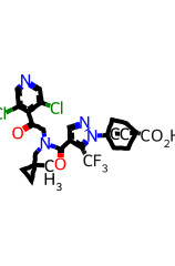 CC1(CN(CC(=O)c2c(Cl)cncc2Cl)C(=O)c2cnn(C34CCC(C(=O)O)(CC3)CC4)c2C(F)(F)F)CC1